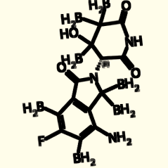 Bc1c(N)c2c(c(B)c1F)C(=O)N([C@H]1C(=O)NC(=O)C(B)(B)C1(B)O)C2(B)B